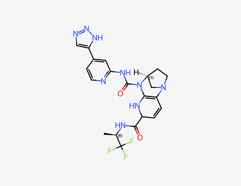 C[C@@H](NC(=O)C1C=CC2=C(N1)N(C(=O)Nc1cc(-c3cnn[nH]3)ccn1)[C@H]1CCN2C1)C(F)(F)F